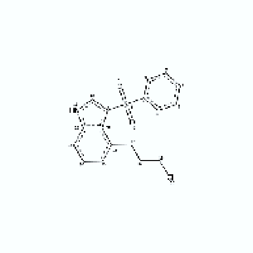 O=S(=O)(c1ccccc1)c1c[nH]c2cccc(CCCCl)c12